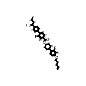 C=CCCCOc1ccc(C2CCC(OC(=O)c3ccc(-c4ccc(C(O)CCC)cc4)c(F)c3F)CC2)c(F)c1F